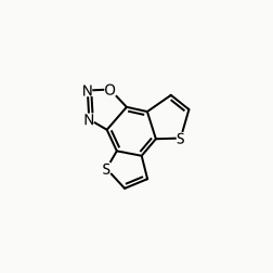 c1cc2c3onnc3c3sccc3c2s1